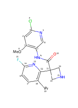 COc1cc(Cl)ncc1NC(=O)C1(c2nc(F)ccc2C(C)C)CNC1